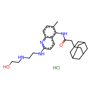 Cc1ccc2nc(NCCNCCO)ccc2c1NC(=O)CC12CC3CC(CC(C3)C1)C2.Cl